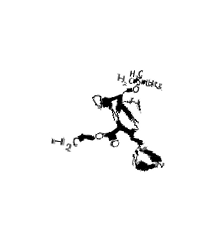 C=CCOC(=O)C1=C(CCn2cncn2)S[C@@H]2[C@@H](CO[Si](C)(C)C(C)(C)C)C(=O)N12